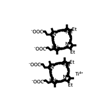 CCC1=C(C)c2cc3[nH]c(cc4nc(cc5[nH]c(cc1n2)c(C)c5CCC(=O)[O-])C(CCC(=O)[O-])=C4C)c(C)c3CC.CCC1=C(C)c2cc3[nH]c(cc4nc(cc5[nH]c(cc1n2)c(C)c5CCC(=O)[O-])C(CCC(=O)[O-])=C4C)c(C)c3CC.[Ti+4]